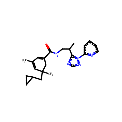 CC(CNC(=O)C1=CC(C(F)(F)F)=CC(CC2CC2)(C(F)(F)F)C1)c1ncnn1-c1ccccn1